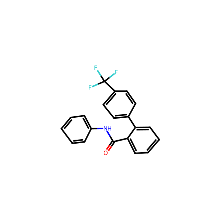 O=C(Nc1ccccc1)c1ccccc1-c1ccc(C(F)(F)F)cc1